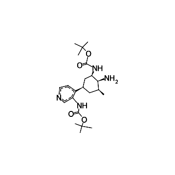 C[C@H]1C[C@@H](c2ccncc2NC(=O)OC(C)(C)C)C[C@@H](NC(=O)OC(C)(C)C)[C@H]1N